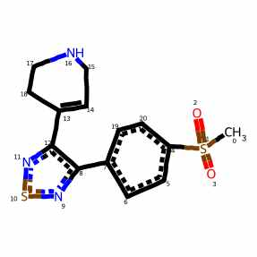 CS(=O)(=O)c1ccc(-c2nsnc2C2=CCNCC2)cc1